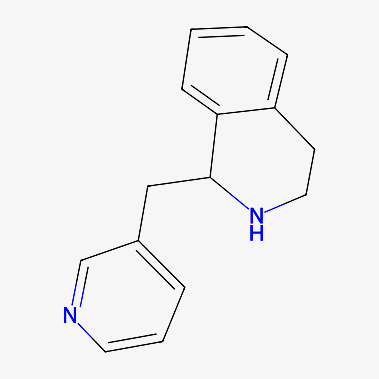 c1cncc(CC2NCCc3ccccc32)c1